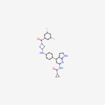 O=C(Nc1cc(-c2ccc(NC3CN(C(=O)c4cc(F)cc(F)c4)C3)cc2)c2cc[nH]c2n1)C1CC1